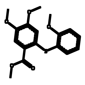 COC(=O)c1cc(OC)c(OC)cc1Sc1ccccc1OC